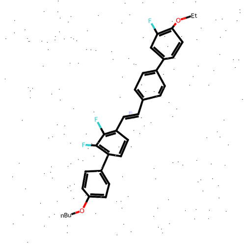 CCCCOc1ccc(-c2ccc(/C=C/c3ccc(-c4ccc(OCC)c(F)c4)cc3)c(F)c2F)cc1